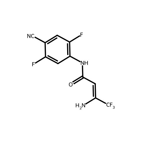 N#Cc1cc(F)c(NC(=O)C=C(N)C(F)(F)F)cc1F